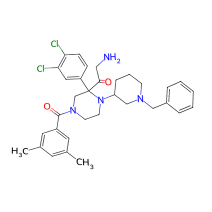 Cc1cc(C)cc(C(=O)N2CCN(C3CCCN(Cc4ccccc4)C3)C(C(=O)CN)(c3ccc(Cl)c(Cl)c3)C2)c1